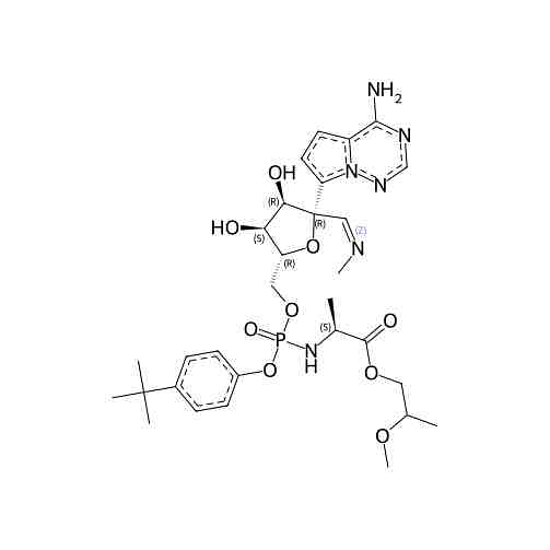 C/N=C\[C@@]1(c2ccc3c(N)ncnn23)O[C@H](COP(=O)(N[C@@H](C)C(=O)OCC(C)OC)Oc2ccc(C(C)(C)C)cc2)[C@@H](O)[C@H]1O